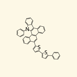 c1ccc(-c2ccc(-c3ccc(-c4cc5c6ccccc6c6c7ccccc7n(-c7ccccc7)c6c5c5ccccc45)s3)s2)cc1